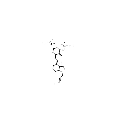 C=C1/C(=C\C=C2/CCC[C@]3(C)[C@@H]([C@@H](C)/C=C/C=O)CC[C@@H]23)C[C@@H](O[Si](C)(C)C(C)(C)C)C[C@@H]1O[Si](C)(C)C(C)(C)C